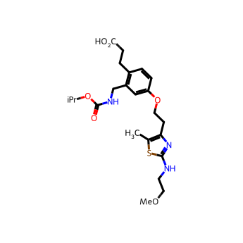 COCCNc1nc(CCOc2ccc(CCC(=O)O)c(CNC(=O)OC(C)C)c2)c(C)s1